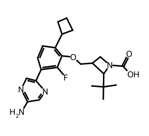 CC(C)(C)C1C(COc2c(C3CCC3)ccc(-c3cnc(N)cn3)c2F)CN1C(=O)O